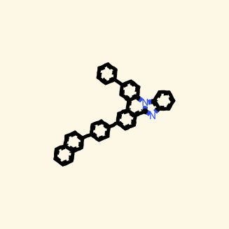 c1ccc(-c2ccc3c(c2)c2cc(-c4ccc(-c5ccc6ccccc6c5)cc4)ccc2c2nc4ccccc4n32)cc1